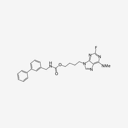 CNc1nc(F)nc2c1ncn2CCCCOC(=O)NCc1cccc(-c2ccccc2)c1